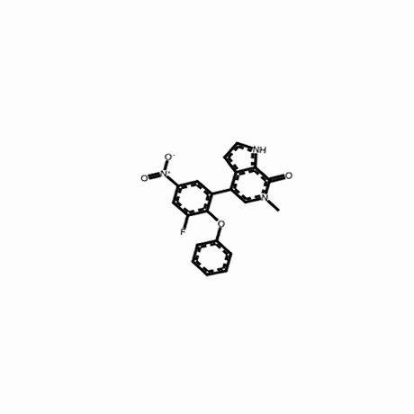 Cn1cc(-c2cc([N+](=O)[O-])cc(F)c2Oc2ccccc2)c2cc[nH]c2c1=O